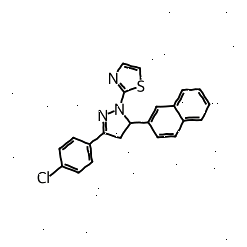 Clc1ccc(C2=NN(c3nccs3)C(c3ccc4ccccc4c3)C2)cc1